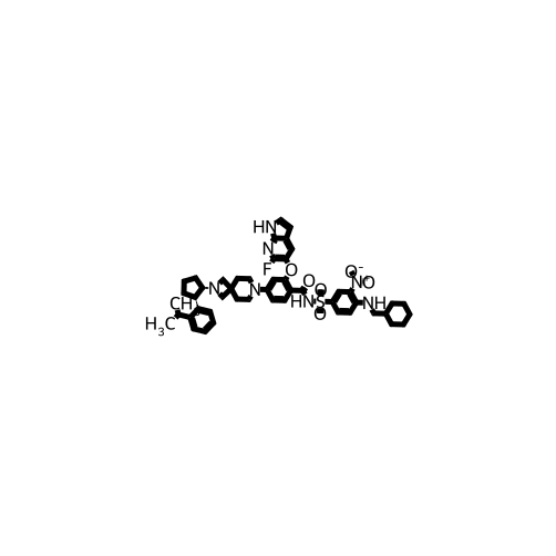 CC(C)c1ccccc1[C@@H]1CCC[C@@H]1N1CC2(CCN(c3ccc(C(=O)NS(=O)(=O)c4ccc(NCC5CCCCC5)c([N+](=O)[O-])c4)c(Oc4cc5cc[nH]c5nc4F)c3)CC2)C1